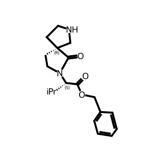 CC(C)[C@@H](C(=O)OCc1ccccc1)N1CC[C@@]2(CCNC2)C1=O